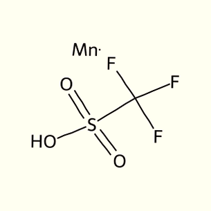 O=S(=O)(O)C(F)(F)F.[Mn]